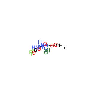 COCCOCCCNC(=O)c1nc(NC(=O)Nc2ccc(OC(F)(F)F)cc2)cn1CC=C(Cl)Cl